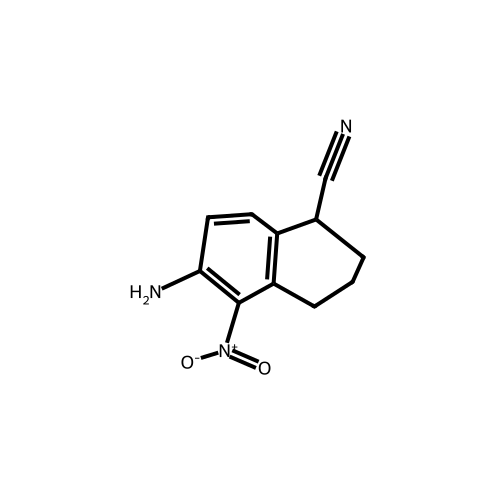 N#CC1CCCc2c1ccc(N)c2[N+](=O)[O-]